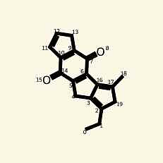 CCC1=C2CC3=C(C(=O)C4=C(C=CC4)C3=O)C2=C(C)C1